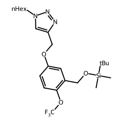 CCCCCCn1cc(COc2ccc(OC(F)(F)F)c(CO[Si](C)(C)C(C)(C)C)c2)nn1